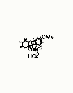 COc1ccc2c(c1)CC2(CN(C)C)C1(O)CCCCC1.Cl